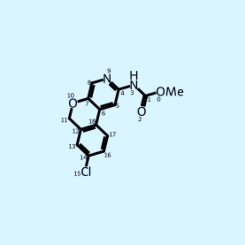 COC(=O)Nc1cc2c(cn1)OCc1cc(Cl)ccc1-2